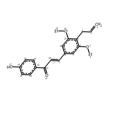 C=CCc1c(OCC)cc(/C=C/C(=O)c2ccc(O)cc2)cc1OCC